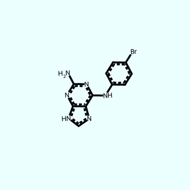 Nc1nc(Nc2ccc(Br)cc2)c2nc[nH]c2n1